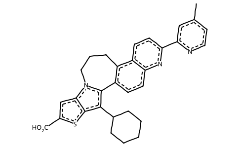 Cc1ccnc(-c2ccc3c4c(ccc3n2)-c2c(C3CCCCC3)c3sc(C(=O)O)cc3n2CCC4)c1